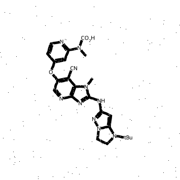 CN(C(=O)O)c1cc(Oc2cnc3nc(Nc4cc5n(n4)CCN5C(C)(C)C)n(C)c3c2C#N)ccn1